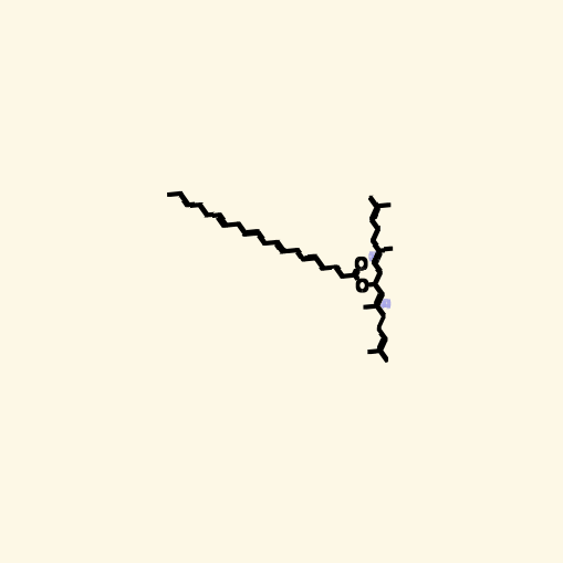 CCCCCC=CCC=CCC=CCC=CCCCC(=O)OC(/C=C(\C)CCC=C(C)C)C/C=C(\C)CCC=C(C)C